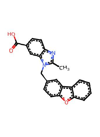 Cc1nc2ccc(C(=O)O)cc2n1Cc1ccc2oc3ccccc3c2c1